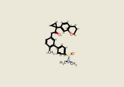 Cc1ccc(CC(=O)C2(c3ccc4c(c3)OCCC4)CC2)cc1-c1ccc([S+]([O-])N(C)C)cc1